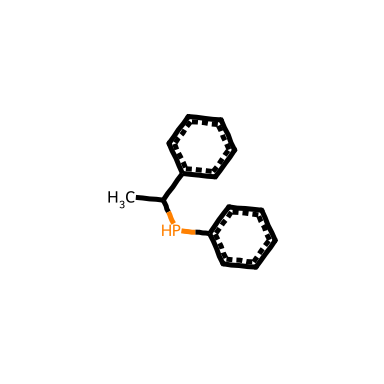 CC(Pc1ccccc1)c1ccccc1